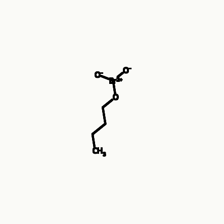 CCCCO[Br+2]([O-])[O-]